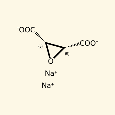 O=C([O-])[C@H]1O[C@H]1C(=O)[O-].[Na+].[Na+]